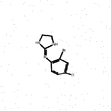 Clc1ccc(N=C2NCCN2)c(Br)c1